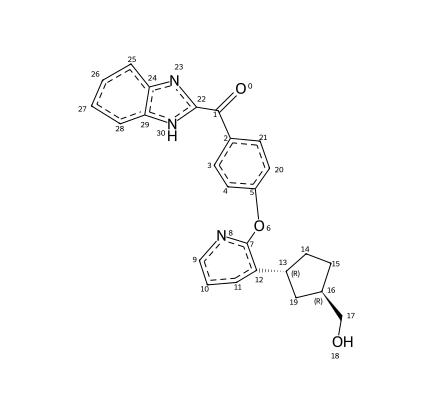 O=C(c1ccc(Oc2ncccc2[C@@H]2CC[C@@H](CO)C2)cc1)c1nc2ccccc2[nH]1